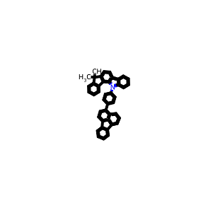 CC1(C)c2ccccc2-c2c1ccc1c3ccccc3n(-c3ccc(-c4ccc5c6c(cccc46)-c4ccccc4-5)cc3)c21